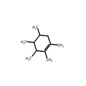 CC1=C(C)C(C)C(C)C(C)C1